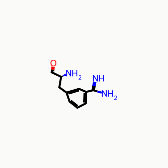 N=C(N)c1cccc(C[C@H](N)C=O)c1